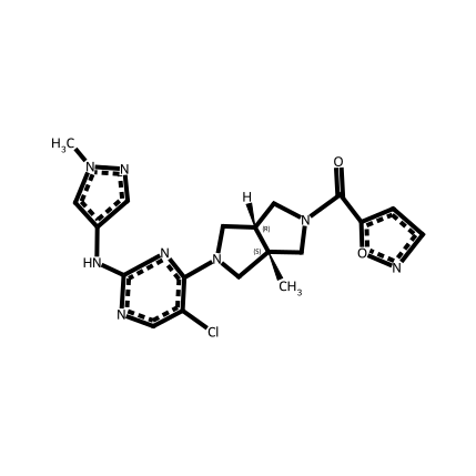 Cn1cc(Nc2ncc(Cl)c(N3C[C@@H]4CN(C(=O)c5ccno5)C[C@]4(C)C3)n2)cn1